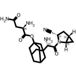 N#C[C@@H]1C[C@@H]2C[C@@H]2N1C(=O)[C@@H](N)C12CC3CC(CC(OC(=O)[C@H](N)CC(N)=O)(C3)C1)C2